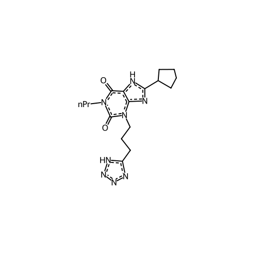 CCCn1c(=O)c2[nH]c(C3CCCC3)nc2n(CCCc2nnn[nH]2)c1=O